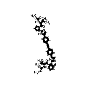 COC(=O)N[C@H](C(=O)N1CCC[C@H]1c1ncc(-c2ccc(C#Cc3ccc(-c4cnc([C@@H]5[C@H]6CCC(C6)N5C(=O)[C@@H](NC(=O)OC)C(C)C)[nH]4)cc3)cc2)[nH]1)C(C)C